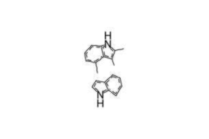 Cc1[nH]c2cccc(C)c2c1C.c1ccc2[nH]ccc2c1